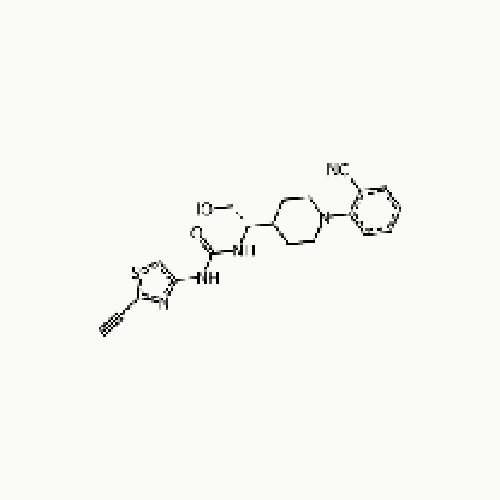 C#Cc1nc(NC(=O)N[C@H](CO)C2CCN(c3ccccc3C#N)CC2)cs1